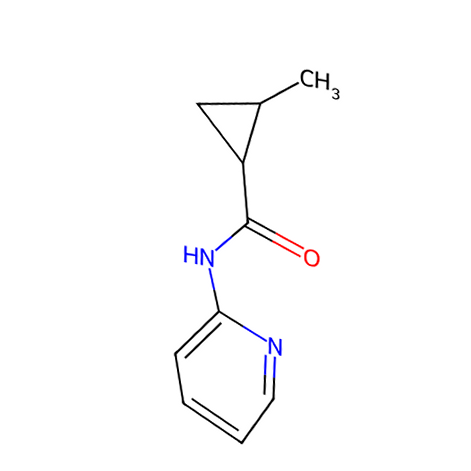 CC1CC1C(=O)Nc1ccccn1